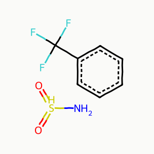 FC(F)(F)c1ccccc1.N[SH](=O)=O